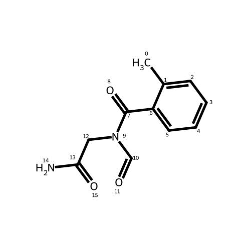 Cc1ccccc1C(=O)N(C=O)CC(N)=O